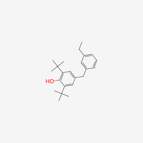 CCc1cc[c]c(Cc2cc(C(C)(C)C)c(O)c(C(C)(C)C)c2)c1